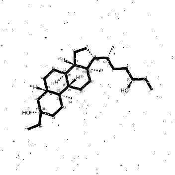 CC[C@@H](O)CC[C@@H](C)[C@H]1CC[C@H]2[C@@H]3CC[C@H]4C[C@](O)(CC)CC[C@]4(C)[C@H]3CC[C@]12C